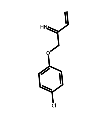 C=CC(=N)COc1ccc(Cl)cc1